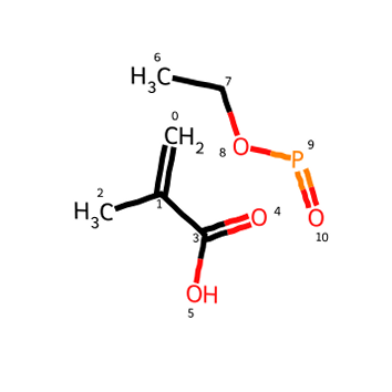 C=C(C)C(=O)O.CCOP=O